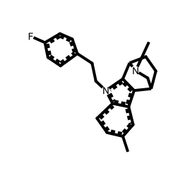 Cc1ccc2c(c1)c1c(n2CCc2ccc(F)cc2)C2CCC1CN2C